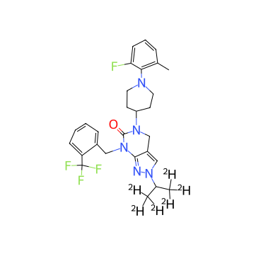 [2H]C([2H])([2H])C(n1cc2c(n1)N(Cc1ccccc1C(F)(F)F)C(=O)N(C1CCN(c3c(C)cccc3F)CC1)C2)C([2H])([2H])[2H]